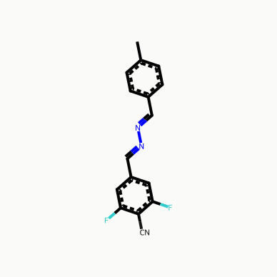 Cc1ccc(C=NN=Cc2cc(F)c(C#N)c(F)c2)cc1